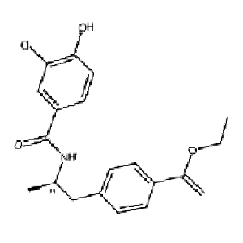 C=C(OCC)c1ccc(C[C@@H](C)NC(=O)c2ccc(O)c(Cl)c2)cc1